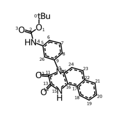 CC(C)(C)OC(=O)Nc1cccc(-n2c(=O)c(=O)[nH]c3c4ccccc4ccc32)c1